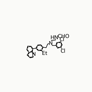 CCc1cc(-c2cccc3cccnc23)ccc1CCN(CCNC=O)Cc1cc(Cl)cc(Cl)c1